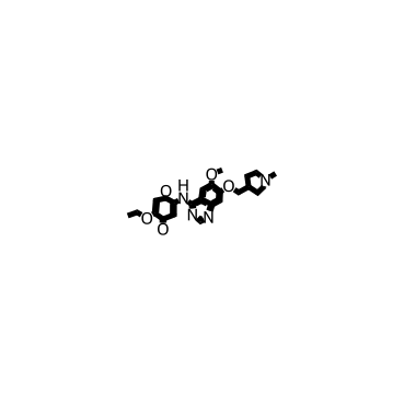 CCOC1=CC(=O)C(Nc2ncnc3cc(OCC4CCN(C)CC4)c(OC)cc23)=CC1=O